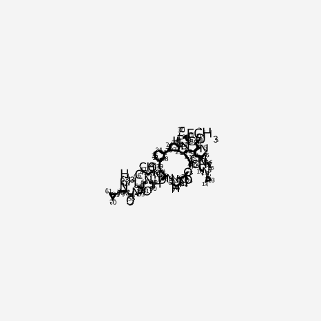 CO[C@@H](C)c1ncc(N2CCN(C3CC3)CC2)cc1-c1c2c3cc(ccc3n1CC(F)(F)F)-c1cccc(c1)C[C@H](NC(=O)[C@H](C(C)C)N1CCOC3(CN(C(=O)[C@H]4[C@@H](C5CC5)N4C)C3)C1)C(=O)N1CCC[C@H](N1)C(=O)OCC(C)(C)C2